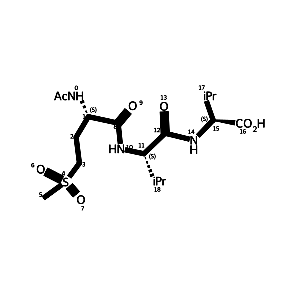 CC(=O)N[C@@H](CCS(C)(=O)=O)C(=O)N[C@H](C(=O)N[C@H](C(=O)O)C(C)C)C(C)C